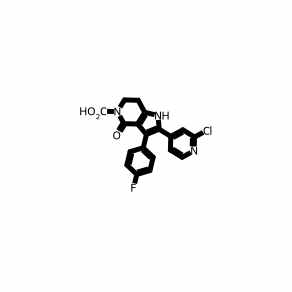 O=C(O)N1CCc2[nH]c(-c3ccnc(Cl)c3)c(-c3ccc(F)cc3)c2C1=O